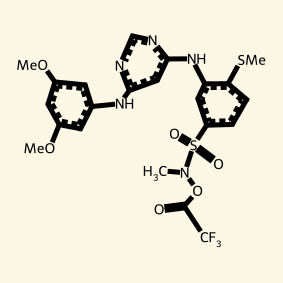 COc1cc(Nc2cc(Nc3cc(S(=O)(=O)N(C)OC(=O)C(F)(F)F)ccc3SC)ncn2)cc(OC)c1